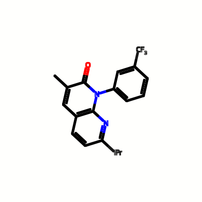 Cc1cc2ccc(C(C)C)nc2n(-c2cccc(C(F)(F)F)c2)c1=O